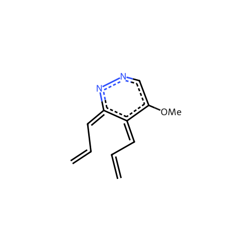 C=C/C=c1/nncc(OC)/c1=C/C=C